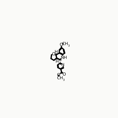 COC(=O)c1ccc([C@H]2Nc3ccc(OC)cc3[C@@H]3OCCC[C@H]23)nc1